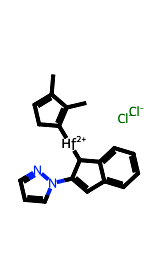 CC1=CC[C]([Hf+2][CH]2C(n3cccn3)=Cc3ccccc32)=C1C.[Cl-].[Cl-]